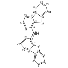 c1ccc2c(c1)Cc1[c]([AlH][c]3cccc4c3Cc3ccccc3-4)cccc1-2